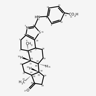 C[C@]12CCc3nc(Nc4ccc(C(=O)O)cc4)sc3C1CC[C@@H]1[C@@H]2CC[C@]2(C)C(=O)CC[C@@H]12